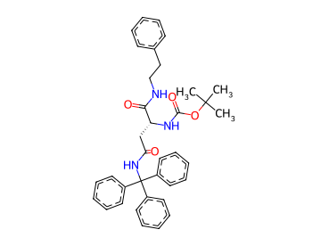 CC(C)(C)OC(=O)N[C@H](CC(=O)NC(c1ccccc1)(c1ccccc1)c1ccccc1)C(=O)NCCc1ccccc1